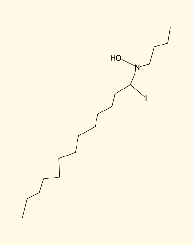 CCCCCCCCCCCCC(I)N(O)CCCC